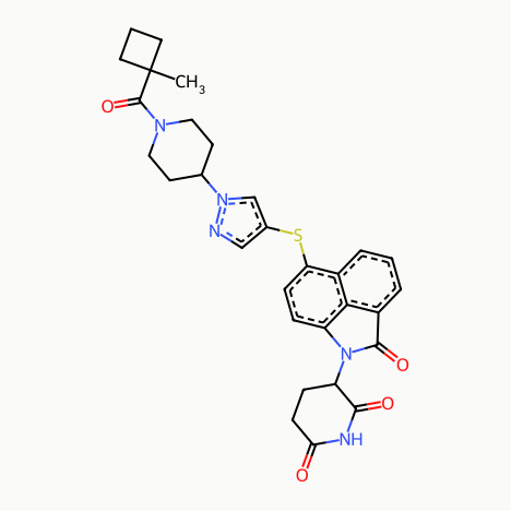 CC1(C(=O)N2CCC(n3cc(Sc4ccc5c6c(cccc46)C(=O)N5C4CCC(=O)NC4=O)cn3)CC2)CCC1